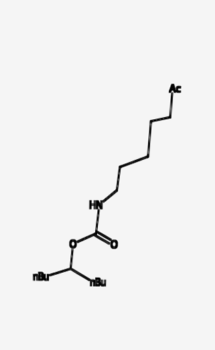 CCCCC(CCCC)OC(=O)NCCCCCC(C)=O